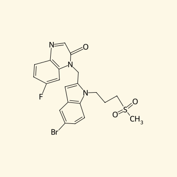 CS(=O)(=O)CCCn1c(Cn2c(=O)cnc3ccc(F)cc32)cc2cc(Br)ccc21